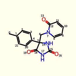 Cc1ccc(C2(Cn3ccccc3=O)NC(=O)NC2=O)cc1